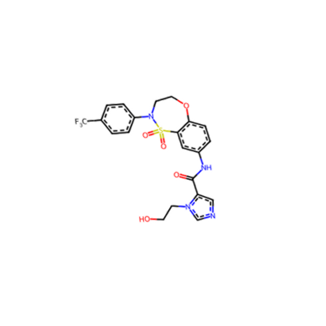 O=C(Nc1ccc2c(c1)S(=O)(=O)N(c1ccc(C(F)(F)F)cc1)CCO2)c1cncn1CCO